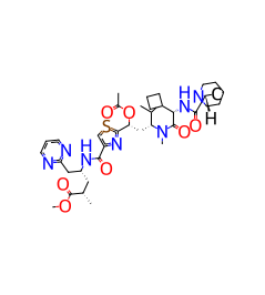 COC(=O)[C@@H](C)C[C@H](Cc1ncccn1)NC(=O)c1csc([C@@H](C[C@H](C(C)C)N(C)C(=O)[C@@H](NC(=O)[C@H]2CC3CCN2CC3)C2CCC2)OC(C)=O)n1